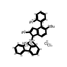 CC(C)C1=Cc2c(ccc(C(C)(C)C)c2-c2ccccc2C(C)C)[CH]1[Zr+2]1[c]2cccc3c2[SiH]1c1ccccc1-3.[Cl-].[Cl-]